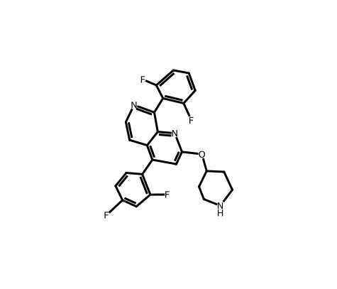 Fc1ccc(-c2cc(OC3CCNCC3)nc3c(-c4c(F)cccc4F)nccc23)c(F)c1